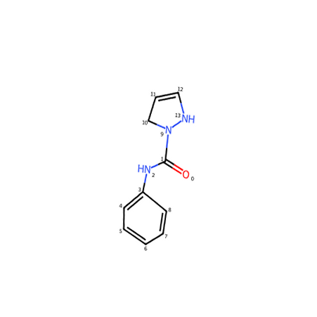 O=C(Nc1ccccc1)N1CC=CN1